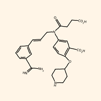 N=C(N)c1cccc(C=CCN(C(=O)CCC(=O)O)c2ccc(OC3CCNCC3)c(C(=O)O)c2)c1